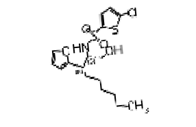 CCCCCC[C@@H](c1ccco1)[C@@H](CO)NS(=O)(=O)c1ccc(Cl)s1